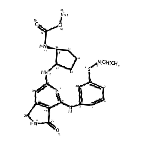 CN(O)Sc1cccc(Nc2nc(NC3CCC[C@@H]3NC(=O)OC(C)(C)C)cc3c2C(=O)NC3)c1